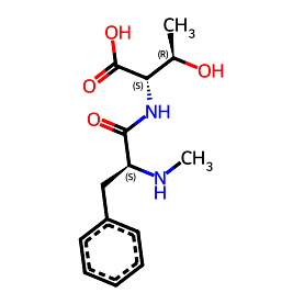 CN[C@@H](Cc1ccccc1)C(=O)N[C@H](C(=O)O)[C@@H](C)O